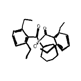 CCc1cccc(CC)c1C(=O)P(=O)(C(=O)c1c(CC)cccc1CC)C1CCCCC1